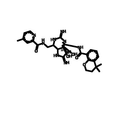 Cc1ccnc(C(=O)NCC2NC(=N)N3CC(NC(=O)c4cccc5c4OCCC5(C)C)C(O)(O)[C@]34NC(=N)NC24)c1